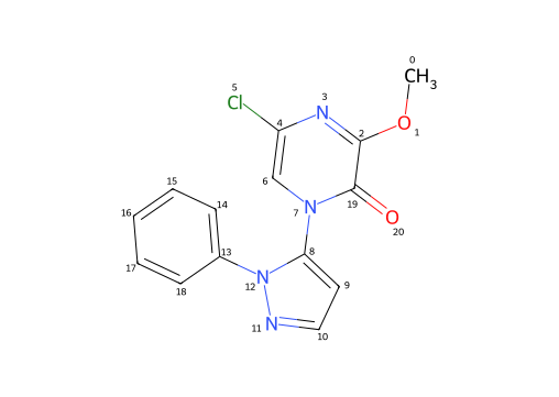 COc1nc(Cl)cn(-c2ccnn2-c2ccccc2)c1=O